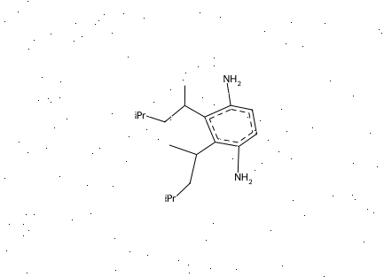 CC(C)CC(C)c1c(N)ccc(N)c1C(C)CC(C)C